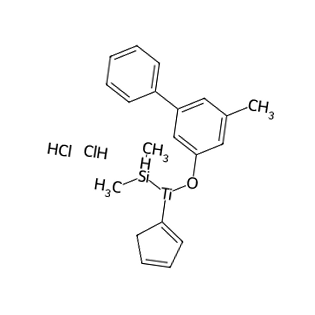 Cc1cc([O][Ti]([C]2=CC=CC2)[SiH](C)C)cc(-c2ccccc2)c1.Cl.Cl